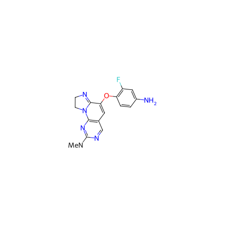 CNc1ncc2c(n1)N1CCN=C1C(Oc1ccc(N)cc1F)=C2